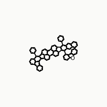 c1ccc(-c2c3c(c(-c4cccc5oc6ccccc6c45)c4cc5ccccc5cc24)-c2ccc4c5ccc6c7c(ccc(c8ccc-3c2c84)c57)c2c(-c3ccccc3)c3cccc4c5ccccc5c(c34)c62)cc1